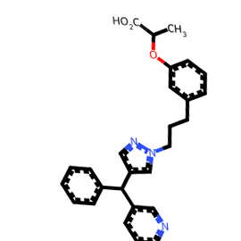 CC(Oc1cccc(CCCn2cc(C(c3ccccc3)c3cccnc3)cn2)c1)C(=O)O